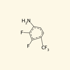 Nc1ccc(C(F)(F)F)c(F)c1F